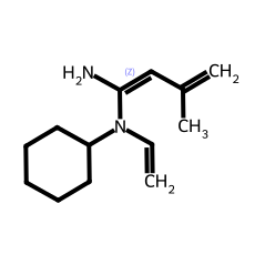 C=CN(/C(N)=C\C(=C)C)C1CCCCC1